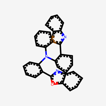 c1ccc(N(c2ccccc2-c2nc3ccccc3o2)c2ccccc2-c2nc3ccccc3s2)cc1